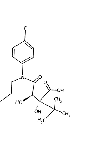 CC(C)(C)[C@](O)(C(=O)O)[C@@H](O)C(=O)N(CCCl)c1ccc(F)cc1